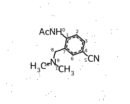 CC(=O)Nc1ccc(C#N)cc1CN(C)C